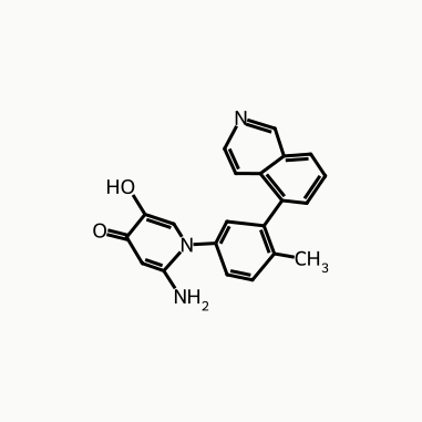 Cc1ccc(-n2cc(O)c(=O)cc2N)cc1-c1cccc2cnccc12